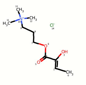 CC=C(O)C(=O)OCCC[N+](C)(C)C.[Cl-]